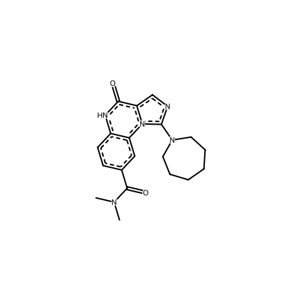 CN(C)C(=O)c1ccc2[nH]c(=O)c3cnc(N4CCCCCC4)n3c2c1